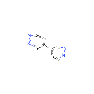 [c]1nnccc1-c1ccnnc1